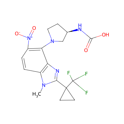 Cn1c(C2(C(F)(F)F)CC2)nc2c(N3CC[C@@H](NC(=O)O)C3)c([N+](=O)[O-])ccc21